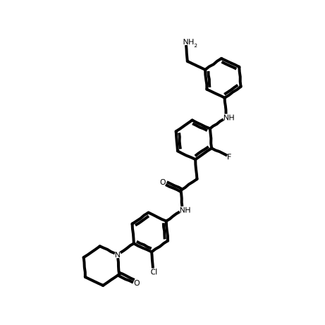 NCc1cccc(Nc2cccc(CC(=O)Nc3ccc(N4CCCCC4=O)c(Cl)c3)c2F)c1